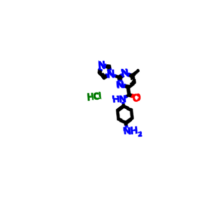 Cc1cc(C(=O)NC2CCC(N)CC2)nc(-n2ccnc2)n1.Cl